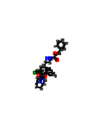 CC(C)(C)OC(=O)N1C2CCC1CN(c1ccc(CCNC(=O)OCc3ccccc3)cc1Cl)C2